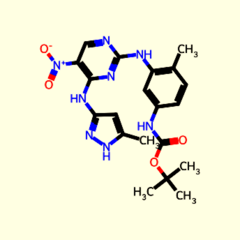 Cc1cc(Nc2nc(Nc3cc(NC(=O)OC(C)(C)C)ccc3C)ncc2[N+](=O)[O-])n[nH]1